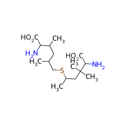 CC(CSC(C)CC(C)(C)C(N)C(=O)O)CC(C)C(N)C(=O)O